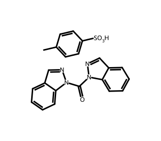 Cc1ccc(S(=O)(=O)O)cc1.O=C(n1ncc2ccccc21)n1ncc2ccccc21